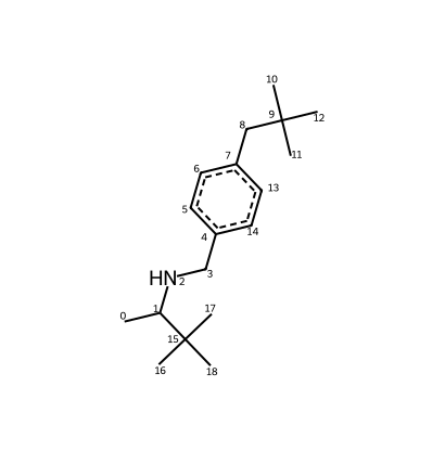 CC(NCc1ccc(CC(C)(C)C)cc1)C(C)(C)C